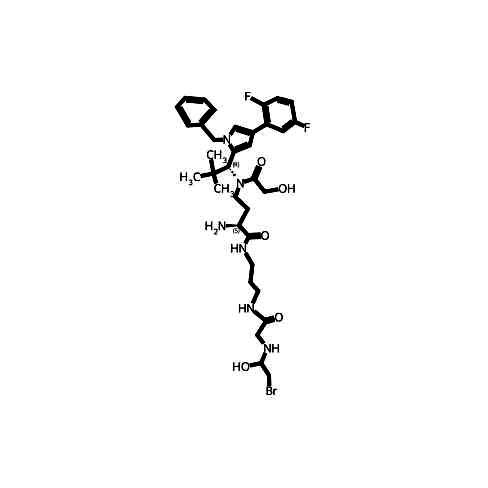 CC(C)(C)[C@H](c1cc(-c2cc(F)ccc2F)cn1Cc1ccccc1)N(CC[C@H](N)C(=O)NCCCNC(=O)CNC(O)CBr)C(=O)CO